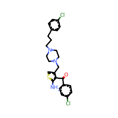 Nc1scc(CN2CCN(CCCc3ccc(Cl)cc3)CC2)c1C(=O)c1ccc(Cl)cc1